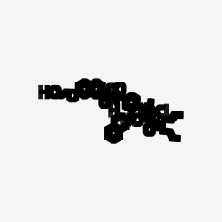 CCCCN(CCCC)C(=O)c1nn(-c2ccc(C(=O)NS(=O)(=O)c3ccc4ccc(OCCO)cc4c3)cc2C(=O)N2CCc3ccccc3C2)c(C)c1Cl